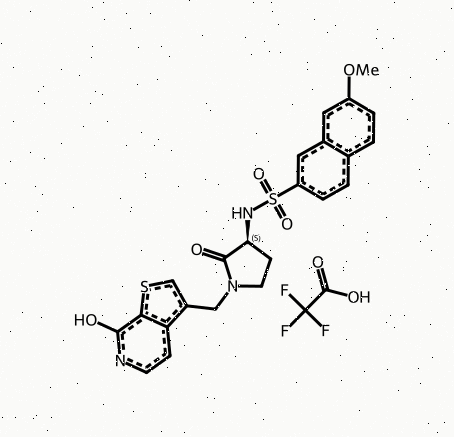 COc1ccc2ccc(S(=O)(=O)N[C@H]3CCN(Cc4csc5c(O)nccc45)C3=O)cc2c1.O=C(O)C(F)(F)F